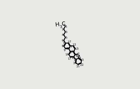 CCCCCCCc1ccc2c(ccc3c2ccc2c4ccccc4sc23)c1